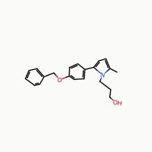 Cc1ccc(-c2ccc(OCc3ccccc3)cc2)n1CCCO